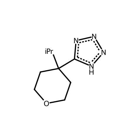 CC(C)C1(c2nnn[nH]2)CCOCC1